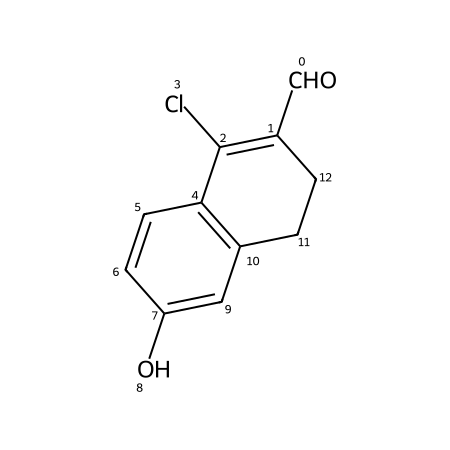 O=CC1=C(Cl)c2ccc(O)cc2CC1